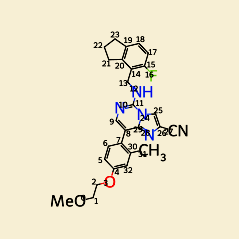 COCCOc1ccc(-c2cnc(NCc3c(F)ccc4c3CCC4)n3cc(C#N)nc23)c(C)c1